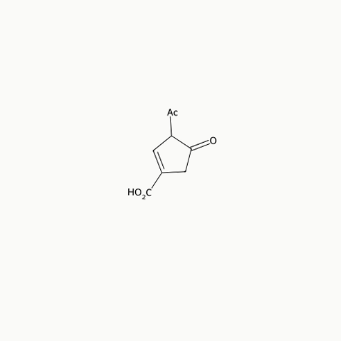 CC(=O)C1C=C(C(=O)O)CC1=O